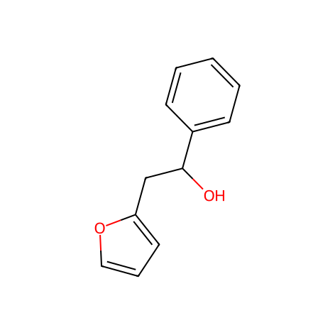 OC(Cc1ccco1)c1ccccc1